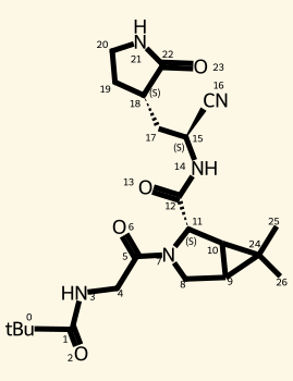 CC(C)(C)C(=O)NCC(=O)N1CC2C([C@H]1C(=O)N[C@H](C#N)C[C@@H]1CCNC1=O)C2(C)C